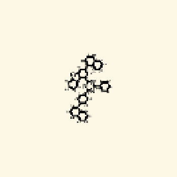 C1=CC(c2nc(-c3ccccc3)nc(-c3cc(-c4cccc5ccccc45)cc4oc5ccccc5c34)n2)CC=C1c1cccc2ccccc12